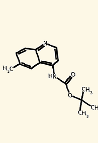 Cc1ccc2nccc(NC(=O)OC(C)(C)C)c2c1